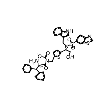 COC(=O)N(Cc1ccc(C(CO)N(Cc2c[nH]c3ccccc23)S(=O)(=O)c2ccc3ncsc3c2)s1)C(=O)[C@@H](N)C(c1ccccc1)c1ccccc1